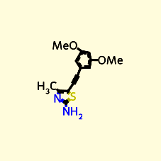 COc1cc(C#Cc2sc(N)nc2C)cc(OC)c1